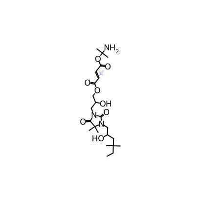 CCC(C)(C)CC(O)CN1C(=O)N(CC(O)COC(=O)/C=C/C(=O)OC(C)(C)N)C(=O)C1(C)C